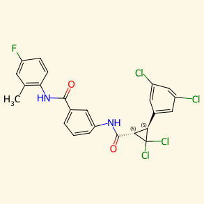 Cc1cc(F)ccc1NC(=O)c1cccc(NC(=O)[C@@H]2[C@@H](c3cc(Cl)cc(Cl)c3)C2(Cl)Cl)c1